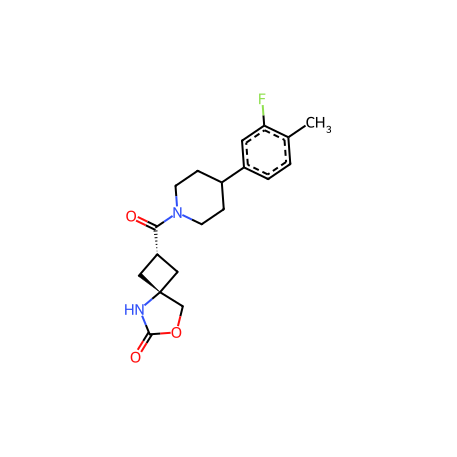 Cc1ccc(C2CCN(C(=O)[C@H]3C[C@]4(COC(=O)N4)C3)CC2)cc1F